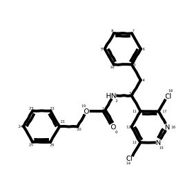 O=C(NC(Cc1ccccc1)c1cc(Cl)nnc1Cl)OCc1ccccc1